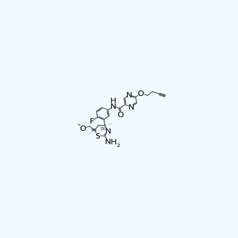 C#CCCOc1cnc(C(=O)Nc2ccc(F)c([C@]3(C)C[C@](C)(COC)SC(N)=N3)c2)cn1